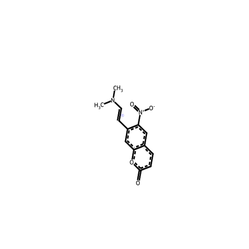 CN(C)/C=C/c1cc2oc(=O)ccc2cc1[N+](=O)[O-]